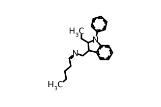 CCCC/C=N\CC1c2ccccc2N(c2ccccc2)C1CC